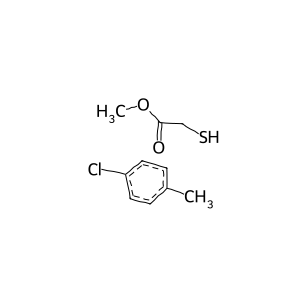 COC(=O)CS.Cc1ccc(Cl)cc1